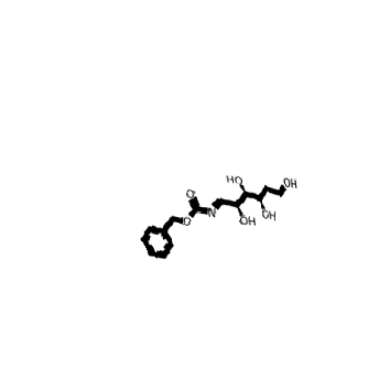 O=C(N=C[C@H](O)[C@@H](O)[C@H](O)CCO)OCc1ccccc1